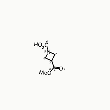 COC(=O)C1CN(C(=O)O)C1